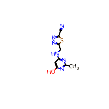 Cc1nc(O)cc(NCc2nnc(C#N)s2)n1